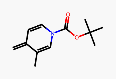 C=C1C=CN(C(=O)OC(C)(C)C)C=C1C